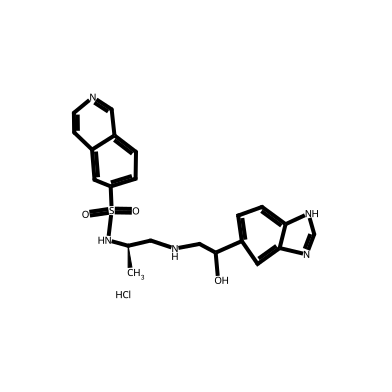 C[C@H](CNCC(O)c1ccc2[nH]cnc2c1)NS(=O)(=O)c1ccc2cnccc2c1.Cl